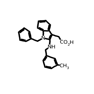 Cc1cccc(CNc2c(CC(=O)O)c3ccccc3n2Cc2ccccc2)c1